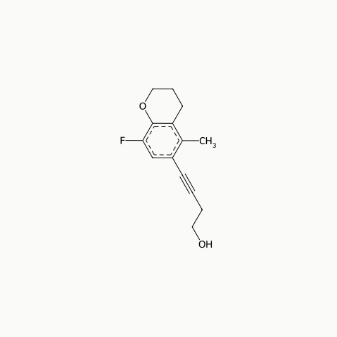 Cc1c(C#CCCO)cc(F)c2c1CCCO2